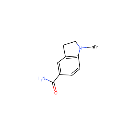 CCCN1CCc2cc(C(N)=O)ccc21